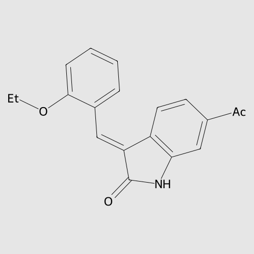 CCOc1ccccc1/C=C1/C(=O)Nc2cc(C(C)=O)ccc21